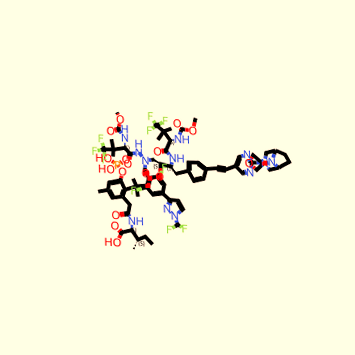 CC[C@H](C)[C@H](NC(=O)Cc1cc(C)cc(OP(=O)(O)O)c1C(C)(C)CC(=O)O[C@@H](CN(Cc1c(F)cc(-c2ccn(C(F)F)n2)cc1F)NC(=O)[C@@H](NC(=O)OC)C(C)(C)C(F)(F)F)[C@H](Cc1ccc(C#Cc2cnc(N3CC4CCC(C3)N4C3COC3)nc2)cc1)NC(=O)[C@@H](NC(=O)OC)C(C)(C)C(F)(F)F)C(=O)O